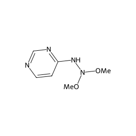 CON(Nc1ccncn1)OC